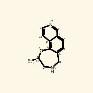 CC[C@@H]1CNCc2ccc3cnccc3c2O1